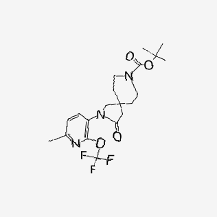 Cc1ccc(N2CC3(CCN(C(=O)OC(C)(C)C)CC3)CC2=O)c(OC(F)(F)F)n1